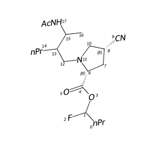 CCCC(F)OC(=O)[C@H]1C[C@@H](C#N)CN1CC(CCC)C(C)NC(C)=O